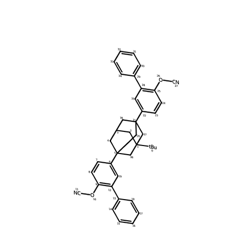 CC(C)(C)C12CC3CC(c4ccc(OC#N)c(-c5ccccc5)c4)(CC(c4ccc(OC#N)c(-c5ccccc5)c4)(C3)C1)C2